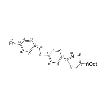 CCCCCCCCc1ccc(-c2ccc(CCc3ccc(CC)cc3)cc2)nc1